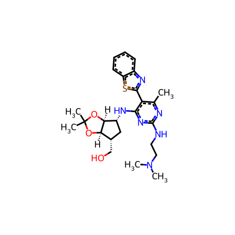 Cc1nc(NCCN(C)C)nc(N[C@@H]2C[C@H](CO)[C@H]3OC(C)(C)O[C@H]32)c1-c1nc2ccccc2s1